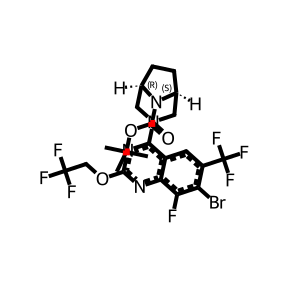 CC(C)(C)OC(=O)N1[C@@H]2CC[C@H]1CN(c1nc(OCC(F)(F)F)nc3c(F)c(Br)c(C(F)(F)F)cc13)C2